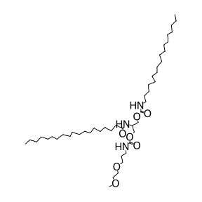 CCCCCCCCCCCCCCCCCCNC(=O)OCC(COC(=O)NCCCOCCOC)NC(=O)CCCCCCCCCCCCCCCCCC